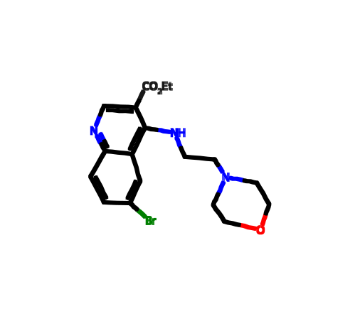 CCOC(=O)c1cnc2ccc(Br)cc2c1NCCN1CCOCC1